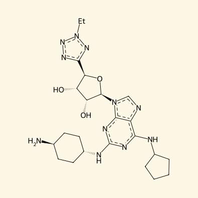 CCn1nnc([C@H]2O[C@@H](n3cnc4c(NC5CCCC5)nc(N[C@H]5CC[C@H](N)CC5)nc43)[C@H](O)[C@@H]2O)n1